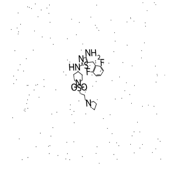 Nc1nc(NC2CCN(S(=O)(=O)CCCN3CCCC3)CC2)sc1[C]c1c(F)cccc1F